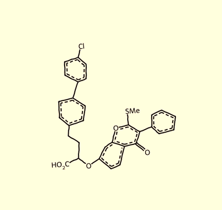 CSc1oc2cc(OC(CCc3ccc(-c4ccc(Cl)cc4)cc3)C(=O)O)ccc2c(=O)c1-c1ccccc1